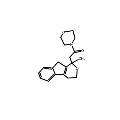 CC1(CC(=O)N2CCOCC2)OCCC2=C1Cc1ccccc12